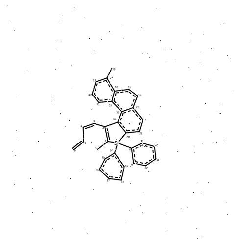 C=C/C=C\C1=C(C)[Si](c2ccccc2)(c2ccccc2)c2ccc3ccc4c(C)cccc4c3c21